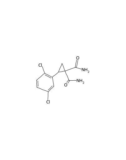 NC(=O)C1(C(N)=O)CC1c1cc(Cl)ccc1Cl